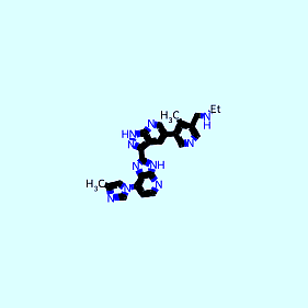 CCNCc1cncc(-c2cnc3[nH]nc(-c4nc5c(-n6cnc(C)c6)ccnc5[nH]4)c3c2)c1C